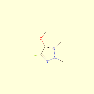 COC1C(F)=NN(C)N1C